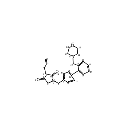 C=CCN1C(=O)CN(Cc2ccc(-c3ccccc3CN3CCOCC3)cc2)C1=O